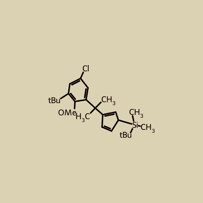 COc1c(C(C)(C)C)cc(Cl)cc1C(C)(C)C1=CC([Si](C)(C)C(C)(C)C)C=C1